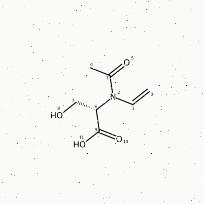 C=CN(C(C)=O)[C@@H](CO)C(=O)O